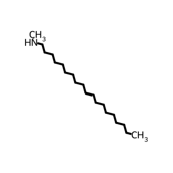 CCCCCCCCC=CCCCCCCCCCNC